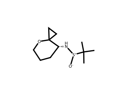 CC(C)(C)[S+]([O-])N[C@@H]1CCCOC12CC2